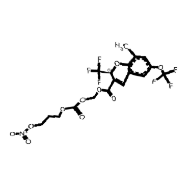 Cc1cc(OC(F)(F)F)cc2c1O[C@H](C(F)(F)F)C(C(=O)OCOC(=O)OCCCO[N+](=O)[O-])=C2